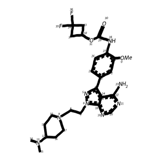 COc1cc(-c2nn(CCN3CCC(N(C)C)CC3)c3ncnc(N)c23)ccc1NC(=O)OC1CC(F)(F)C1